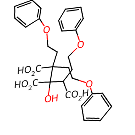 O=C(O)C(CCOc1ccccc1)C(O)(C(=O)O)C(CCOc1ccccc1)(CCOc1ccccc1)C(=O)O